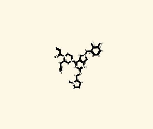 C=CC(=O)N1CCN(c2nc(OCC3CCCN3C)nc3c2CN(Cc2cccc(C)c2C)C3)CC1CC#N